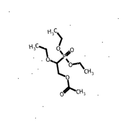 CCOC(COC(C)=O)P(=O)(OCC)OCC